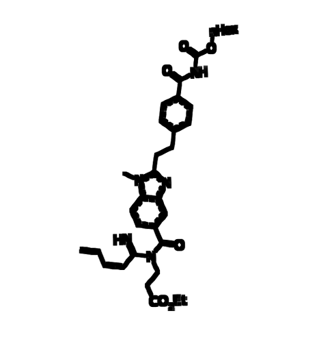 C=C/C=C\C(=N)N(CCC(=O)OCC)C(=O)c1ccc2c(c1)nc(CCc1ccc(C(=O)NC(=O)OCCCCCC)cc1)n2C